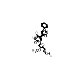 COCC1O[C@@H](n2cc(-c3cn(C4CCCCC4)nn3)c(=O)[nH]c2=O)C[C@H]1OC